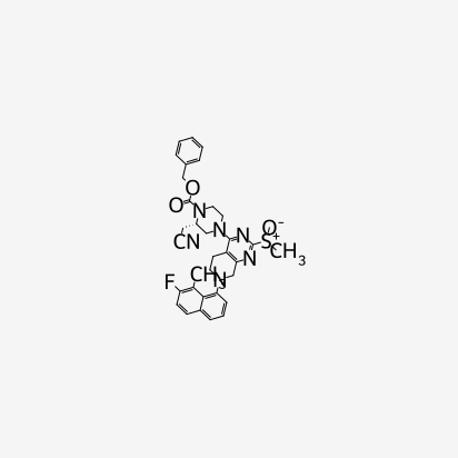 Cc1c(F)ccc2cccc(N3CCc4c(nc([S+](C)[O-])nc4N4CCN(C(=O)OCc5ccccc5)[C@@H](CC#N)C4)C3)c12